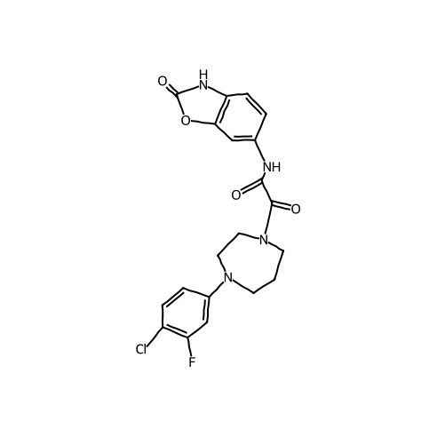 O=C(Nc1ccc2[nH]c(=O)oc2c1)C(=O)N1CCCN(c2ccc(Cl)c(F)c2)CC1